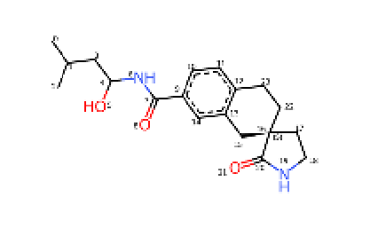 CC(C)CC(O)NC(=O)c1ccc2c(c1)C[C@]1(CCNC1=O)CC2